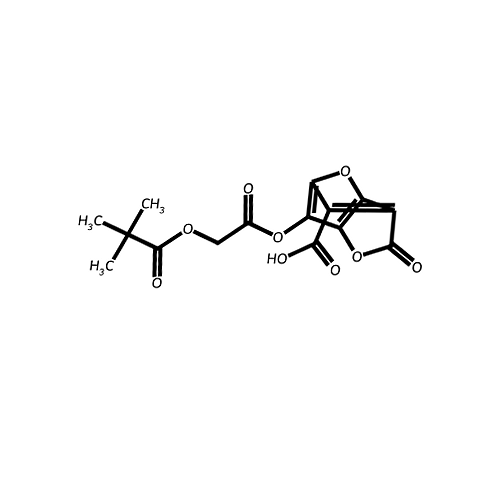 CC(C)(C)C(=O)OCC(=O)Oc1c2c3oc1c(C(=O)O)c3C(=O)O2